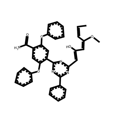 C\C=C/C(=C\C(O)=C\c1nc(-c2ccccc2)nc(-c2cc(Oc3ccccc3)c(C(N)=O)cc2Oc2ccccc2)n1)OC